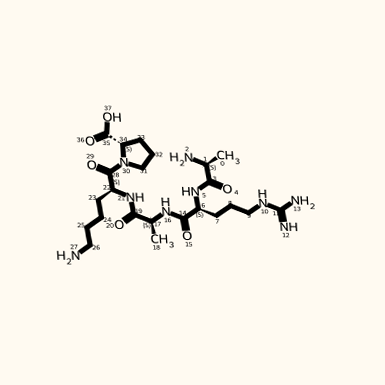 C[C@H](N)C(=O)N[C@@H](CCCNC(=N)N)C(=O)N[C@@H](C)C(=O)N[C@@H](CCCCN)C(=O)N1CCC[C@H]1C(=O)O